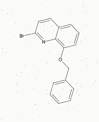 Brc1ccc2cccc(OCc3ccccc3)c2n1